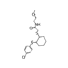 COCCNC(=O)CSC1CCCCC1Sc1ccc(Cl)cc1